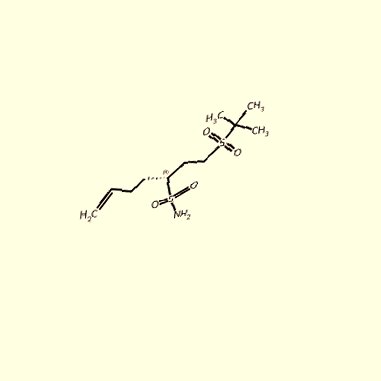 C=CCC[C@H](CCS(=O)(=O)C(C)(C)C)S(N)(=O)=O